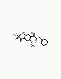 COc1cc(NS(C)(=O)=O)c(O)cc1NC(=O)C[n+]1ccccc1.[Cl-]